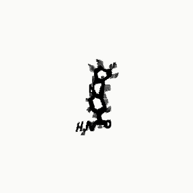 NC(=O)c1ccc2nc3c(cc2c1)CCCC3